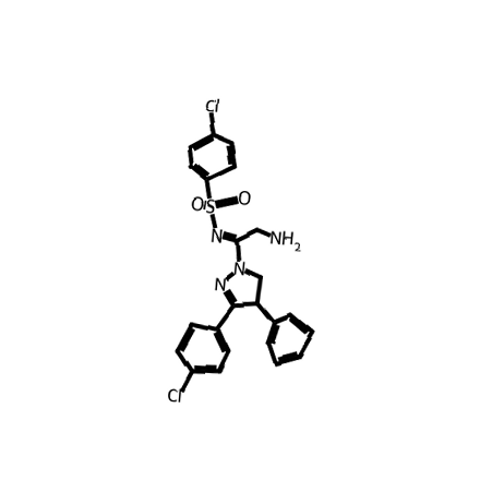 NC/C(=N\S(=O)(=O)c1ccc(Cl)cc1)N1CC(c2ccccc2)C(c2ccc(Cl)cc2)=N1